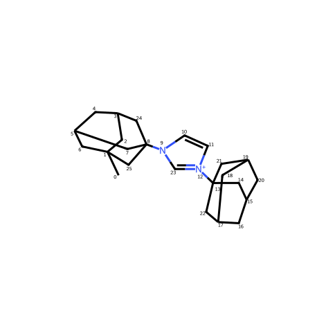 CC12CC3CC(C1)CC(n1cc[n+](C45CC6CC(CC(C6)C4)C5)c1)(C3)C2